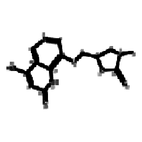 CN1CC(COc2cncc3c(O)cc(=O)[nH]c23)OC1=O